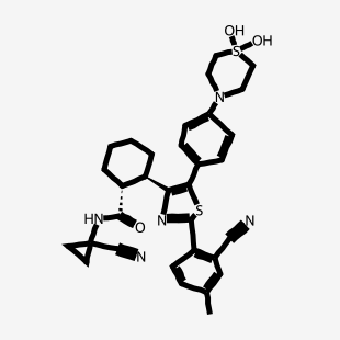 Cc1ccc(-c2nc([C@@H]3CCCC[C@H]3C(=O)NC3(C#N)CC3)c(-c3ccc(N4CCS(O)(O)CC4)cc3)s2)c(C#N)c1